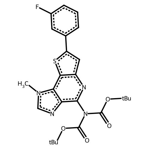 Cn1cnc2c(N(C(=O)OC(C)(C)C)C(=O)OC(C)(C)C)nc3cc(-c4cccc(F)c4)sc3c21